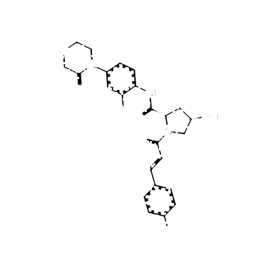 O=C(Nc1ccc(N2CCOCC2=O)cc1F)[C@H]1C[C@@H](O)CN1C(=O)C=Cc1ccc(Cl)cc1